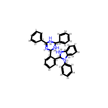 c1ccc(C2=NC(c3ccccc3C3Nc4ccccc4N3c3ccccc3)NC(c3ccccc3)N2)cc1